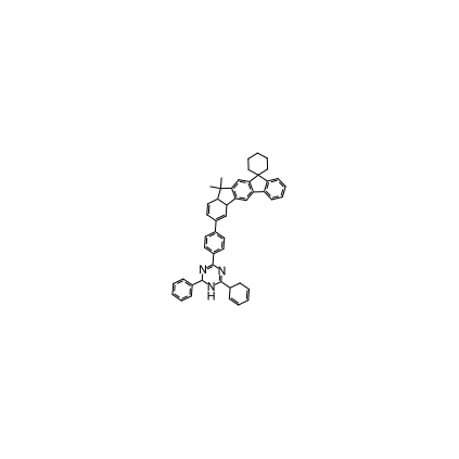 CC1(C)c2cc3c(cc2C2C=C(c4ccc(C5=NC(c6ccccc6)NC(C6C=CC=CC6)=N5)cc4)C=CC21)-c1ccccc1C31CCCCC1